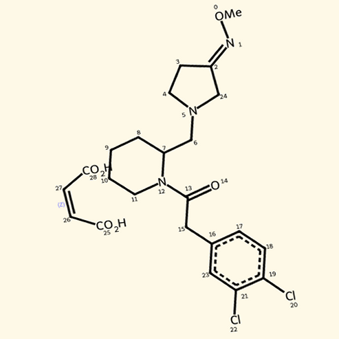 CON=C1CCN(CC2CCCCN2C(=O)Cc2ccc(Cl)c(Cl)c2)C1.O=C(O)/C=C\C(=O)O